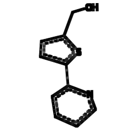 OCc1ccc(-c2ccccn2)s1